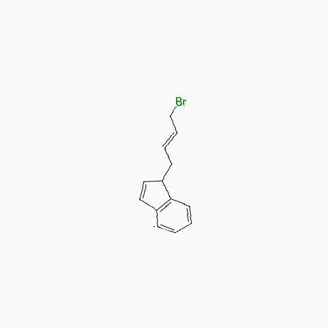 BrCC=CCC1C=Cc2[c]cccc21